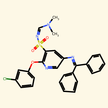 CN(C)/C=N\S(=O)(=O)c1cc(N=C(c2ccccc2)c2ccccc2)cnc1Oc1cccc(Cl)c1